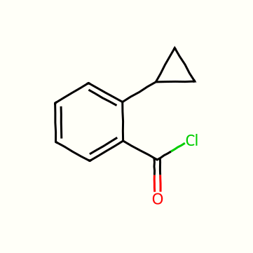 O=C(Cl)c1ccccc1C1CC1